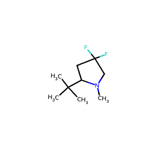 CN1CC(F)(F)CC1C(C)(C)C